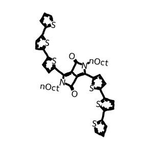 CCCCCCCCN1C(=O)C2=C(c3ccc(-c4ccc(-c5cccs5)s4)s3)N(CCCCCCCC)C(=O)C2=C1c1ccc(-c2ccc(-c3cccs3)s2)s1